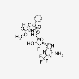 COC(=O)[C@H](C)NP(=O)(OC[C@H]1O[C@@H](n2cnc3c(N)nc(C(F)(F)F)nc32)C(F)C1O)Oc1ccccc1